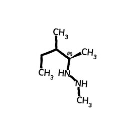 CCC(C)[C@@H](C)NNC